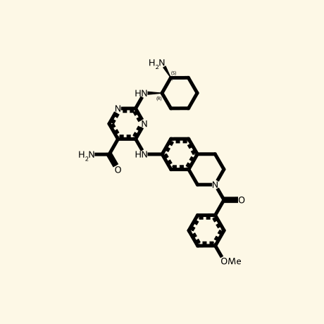 COc1cccc(C(=O)N2CCc3ccc(Nc4nc(N[C@@H]5CCCC[C@@H]5N)ncc4C(N)=O)cc3C2)c1